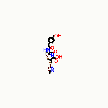 Cc1nnc(SCC2=C(C(=O)O)N3C(=O)C(NC(=O)Cc4ccc(CO)cc4)[C@@H]3SC2)s1